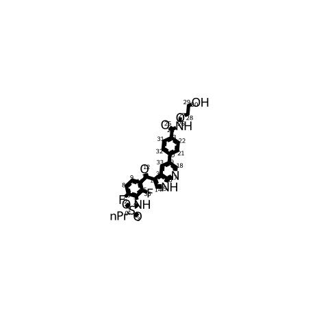 CCCS(=O)(=O)Nc1c(F)ccc(C(=O)c2c[nH]c3ncc(-c4ccc(C(=O)NOCCO)cc4)cc23)c1F